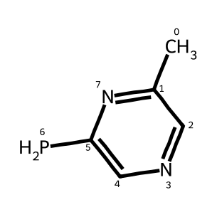 Cc1cncc(P)n1